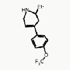 C[CH]C1CC(c2ccc(OC(F)(F)F)cc2)=CCN1